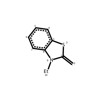 [CH]=C1Sc2ccccc2N1CC